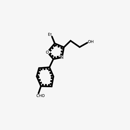 CCc1oc(-c2ccc(C=O)cc2)nc1CCO